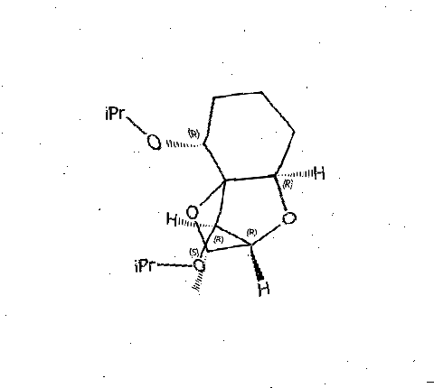 CC(C)O[C@@H]1[C@@H]2O[C@@H]3CCC[C@@H](OC(C)C)C13O[C@H]2C